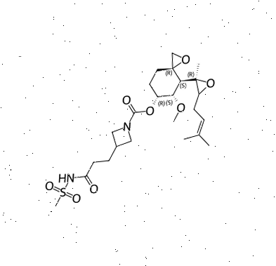 CO[C@@H]1[C@H](OC(=O)N2CC(CCC(=O)NS(C)(=O)=O)C2)CC[C@]2(CO2)[C@H]1[C@@]1(C)OC1CC=C(C)C